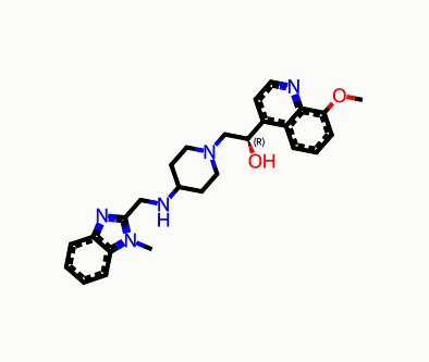 COc1cccc2c([C@@H](O)CN3CCC(NCc4nc5ccccc5n4C)CC3)ccnc12